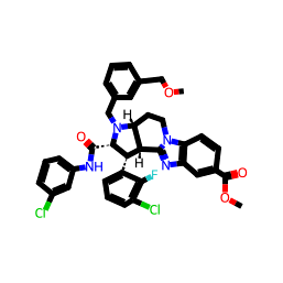 COCc1cccc(CN2[C@H]3CCn4c(nc5cc(C(=O)OC)ccc54)[C@H]3[C@H](c3cccc(Cl)c3F)[C@@H]2C(=O)Nc2cccc(Cl)c2)c1